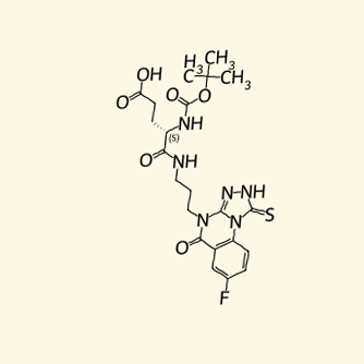 CC(C)(C)OC(=O)N[C@@H](CCC(=O)O)C(=O)NCCCn1c(=O)c2cc(F)ccc2n2c(=S)[nH]nc12